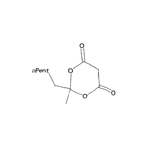 CCCCCCC1(C)OC(=O)CC(=O)O1